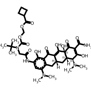 CN(C)c1cc(NC(=O)CN(C(=O)OCOC(=O)C2CCC2)C(C)(C)C)c(O)c2c1C[C@H]1C[C@H]3[C@H](N(C)C)C(O)=C(C(N)=O)C(=O)[C@@]3(O)C(O)=C1C2=O